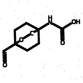 O=CC12CCC(NC(=O)O)(CC1)CO2